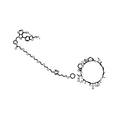 CO[C@H]1C[C@@H]2CC[C@@H](C)[C@@](O)(O2)C(=O)C(=O)N2CCCC[C@H]2C(=O)O[C@H]([C@H](N)C[C@H]2CC[C@H](OCCCCc3cn(CCOCCOCCOCCOCCOCCOCCC(=O)N4CCC(Cn5nc(-c6ccc7oc(N)nc7c6)c6c(N)ncnc65)C4)nn3)CC2)CC(=O)[C@H](C)/C=C(\C)[C@@H](O)[C@@H](OC)C(=O)[C@H](C)C[C@H](C)/C=C/C=C/C=C/1C